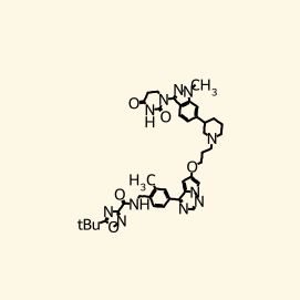 Cc1cc(-c2ncnn3cc(OCCCN4CCCC(c5ccc6c(N7CCC(=O)NC7=O)nn(C)c6c5)C4)cc23)ccc1CNC(=O)c1noc(C(C)(C)C)n1